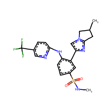 CNS(=O)(=O)c1ccc(Nc2ccc(C(F)(F)F)cn2)c(-c2cn3c(n2)CC(C)C3)c1